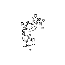 CC(C)N(C)c1ncc(Oc2cc(F)c(N(C=O)S(=O)(=O)N(C)C)cc2F)cc1Cl